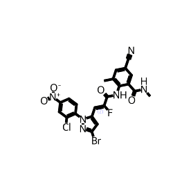 CNC(=O)c1cc(C#N)cc(C)c1NC(=O)/C(F)=C/c1cc(Br)nn1-c1ccc([N+](=O)[O-])cc1Cl